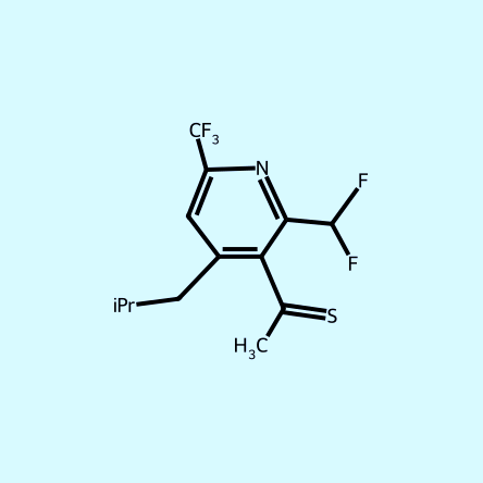 CC(=S)c1c(CC(C)C)cc(C(F)(F)F)nc1C(F)F